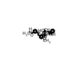 CNC(=O)c1cccc(CCc2ccc(OC)c(S(=O)(=O)N[C@H](Cc3c[nH]c4ccccc34)C(C)(C)O)c2)c1